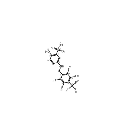 O=S(=O)(O)c1cc(NCc2c(F)c(F)c(C(F)(F)F)c(F)c2F)ccc1O